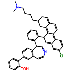 CN(C)CCCCC1CC=c2ccc3c(c2C1)C(c1ccccc1C1C=NC=Cc2cc(-c4ccccc4O)ccc21)C=c1cc(Cl)ccc1=3